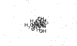 CNC(=O)[C@@H]1C[C@@H](O)CN1C(=O)[C@@H](n1ccnn1)C(C)(C)C